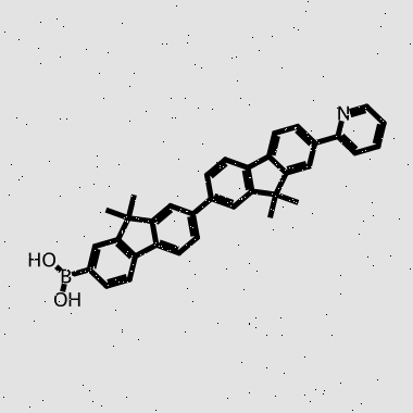 CC1(C)c2cc(B(O)O)ccc2-c2ccc(-c3ccc4c(c3)C(C)(C)c3cc(-c5ccccn5)ccc3-4)cc21